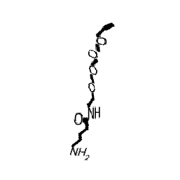 C#CCOCCOCCOCCOCCNC(=O)CCCCN